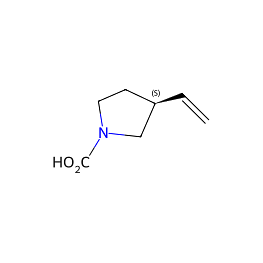 C=C[C@@H]1CCN(C(=O)O)C1